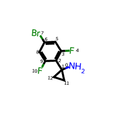 NC1(c2c(F)cc(Br)cc2F)CC1